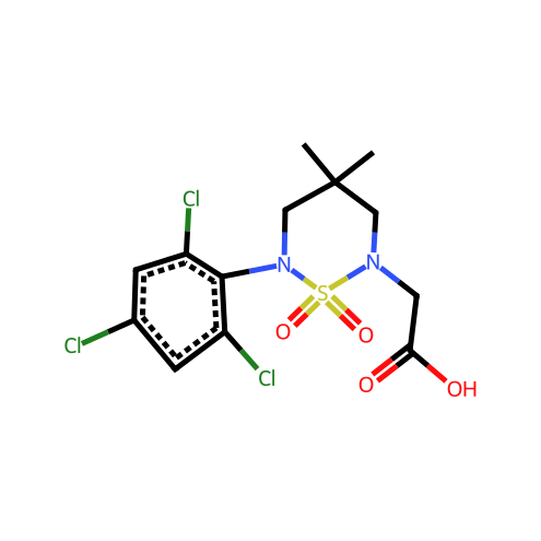 CC1(C)CN(CC(=O)O)S(=O)(=O)N(c2c(Cl)cc(Cl)cc2Cl)C1